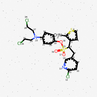 O=[N+]([O-])c1sccc1C(Cc1ccc(Cl)nc1)S(=O)(=O)Oc1ccc(N(CCCl)CCCl)cc1